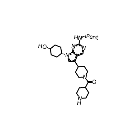 CCC[C@H](C)Nc1ncc2c(C3CCN(C(=O)C4CCNCC4)CC3)cn([C@H]3CC[C@H](O)CC3)c2n1